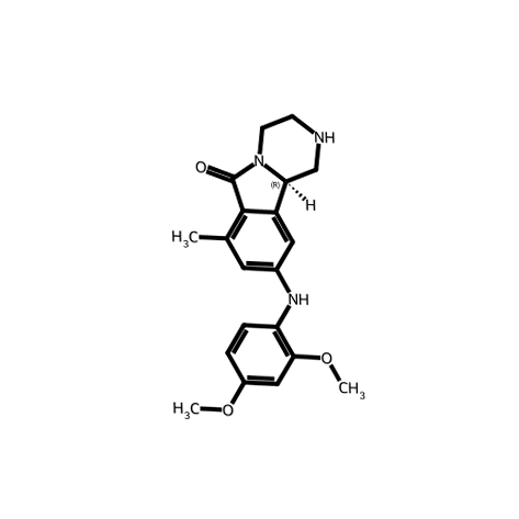 COc1ccc(Nc2cc(C)c3c(c2)[C@@H]2CNCCN2C3=O)c(OC)c1